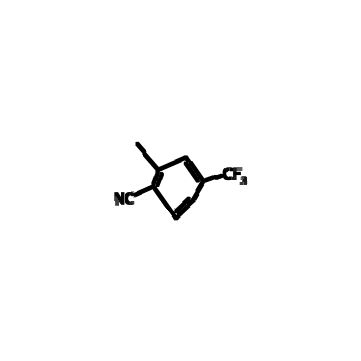 Cc1cc(C(F)(F)F)ccc1C#N